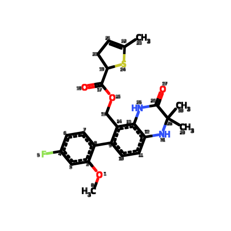 COc1cc(F)ccc1-c1ccc2c(c1COC(=O)C1CC=C(C)S1)NC(=O)C(C)(C)N2